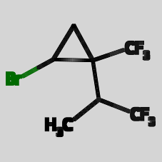 CC(C(F)(F)F)C1(C(F)(F)F)CC1Br